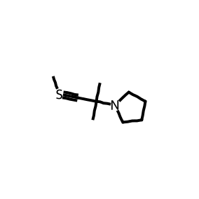 CS#CC(C)(C)N1CCCC1